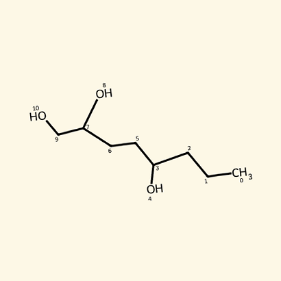 CCCC(O)CCC(O)CO